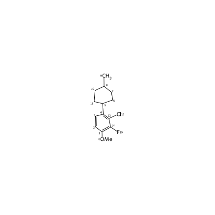 COc1ccc(C2CCC(C)CC2)c(Cl)c1F